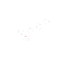 COC(=O)c1ccccc1-c1ccc2c(c1)C(C)(C)c1cc(-c3ccccc3C)ccc1-2